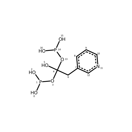 OP(O)OC(O)(Cc1cccnc1)OP(O)O